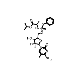 CC(C)OC(=O)[C@@H](C)N[P@](=O)(OC[C@H]1O[C@@H](n2cc(I)c(N)nc2=O)[C@](C)(F)[C@@H]1O)Oc1ccccc1